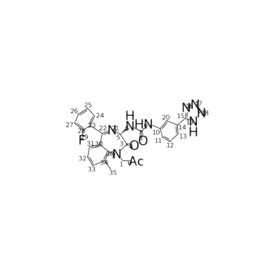 CC(=O)CN1C(=O)[C@H](NC(=O)Nc2cccc(-c3nnn[nH]3)c2)N=C(c2ccccc2F)c2cccc(C)c21